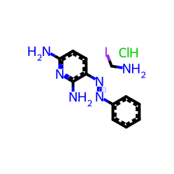 Cl.NCI.Nc1ccc(/N=N/c2ccccc2)c(N)n1